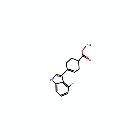 CC(C)(C)OC(=O)C1CC=C(c2c[nH]c3cccc(F)c23)CC1